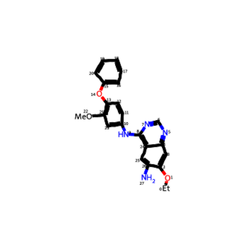 CCOc1cc2ncnc(Nc3ccc(Oc4ccccc4)c(OC)c3)c2cc1N